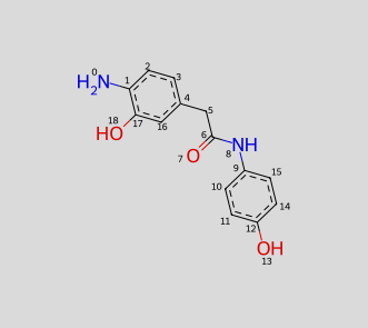 Nc1ccc(CC(=O)Nc2ccc(O)cc2)cc1O